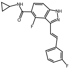 O=C(NC1CC1)c1ccc2[nH]nc(C=Cc3cccc(F)c3)c2c1F